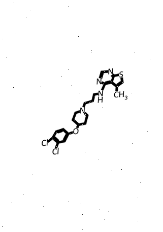 Cc1csc2ncnc(NCCCN3CCC(Oc4ccc(Cl)c(Cl)c4)CC3)c12